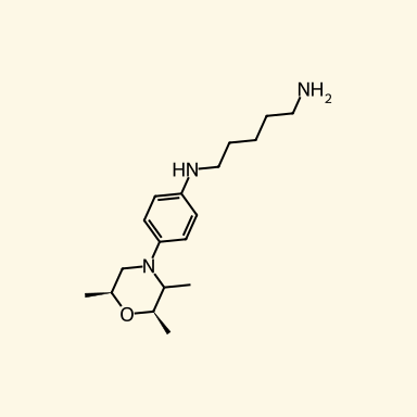 CC1[C@@H](C)O[C@@H](C)CN1c1ccc(NCCCCCN)cc1